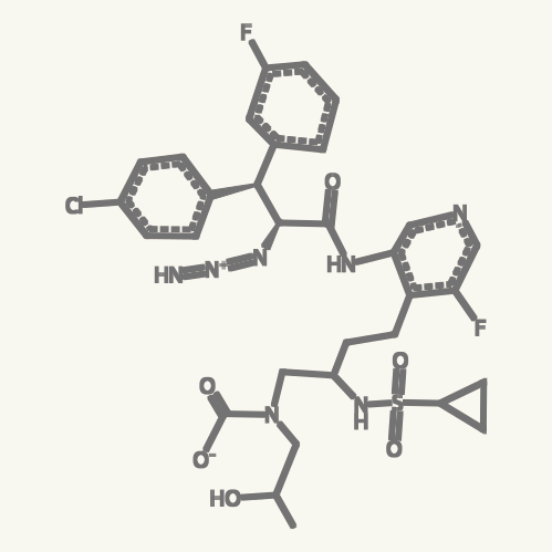 CC(O)CN(CC(CCc1c(F)cncc1NC(=O)[C@@H](N=[N+]=N)[C@@H](c1ccc(Cl)cc1)c1cccc(F)c1)NS(=O)(=O)C1CC1)C(=O)[O-]